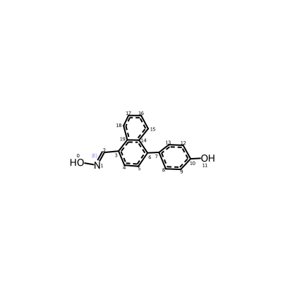 O/N=C/c1ccc(-c2ccc(O)cc2)c2ccccc12